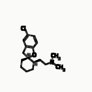 CN(C)CC[C@H]1CCCC[C@]12Cc1cc(Cl)ccc1O2